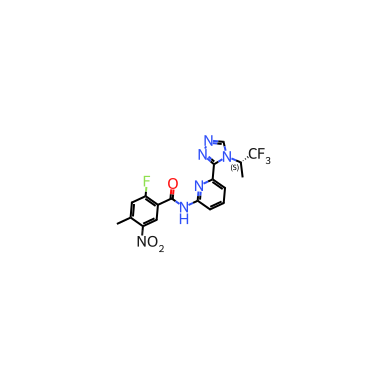 Cc1cc(F)c(C(=O)Nc2cccc(-c3nncn3[C@@H](C)C(F)(F)F)n2)cc1[N+](=O)[O-]